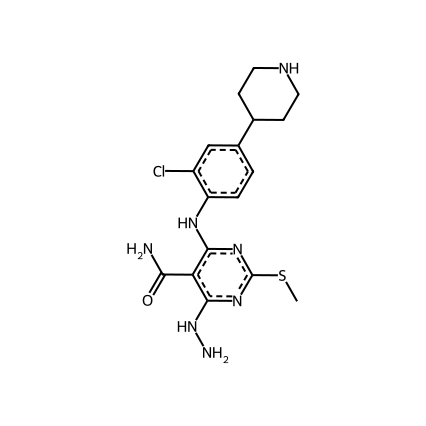 CSc1nc(NN)c(C(N)=O)c(Nc2ccc(C3CCNCC3)cc2Cl)n1